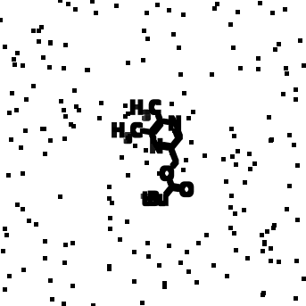 Cc1ncc(COC(=O)C(C)(C)C)nc1C